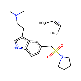 CN(C)CCc1c[nH]c2ccc(CS(=O)(=O)N3CCCC3)cc12.O=C(O)/C=C\C(=O)O